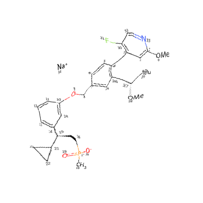 COc1cc(-c2ccc(COc3cccc([C@@H](CP(C)(=O)[O-])C4CC4)c3)cc2[C@@H](OC)C(C)(C)C)c(F)cn1.[Na+]